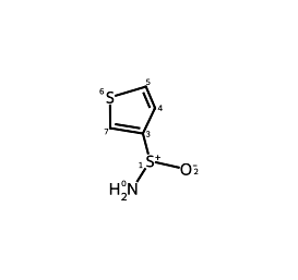 N[S+]([O-])c1ccsc1